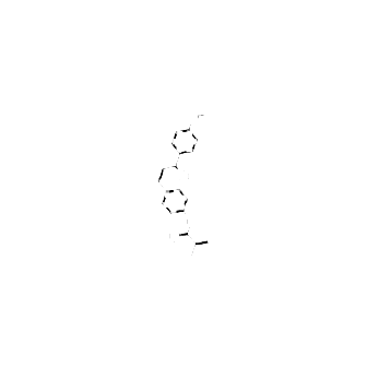 C=C(C)C(=O)Oc1ccc(/C=C\C(=O)c2ccc(OC)cc2)cc1